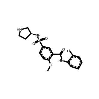 COc1ccc(S(=O)(=O)N[C@H]2CCNC2)cc1C(=O)Nc1ccccc1Cl